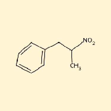 C[C](Cc1ccccc1)[N+](=O)[O-]